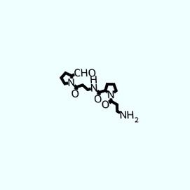 NCCC(=O)N1CCCC1C(=O)NCCC(=O)N1CCCC1[C]=O